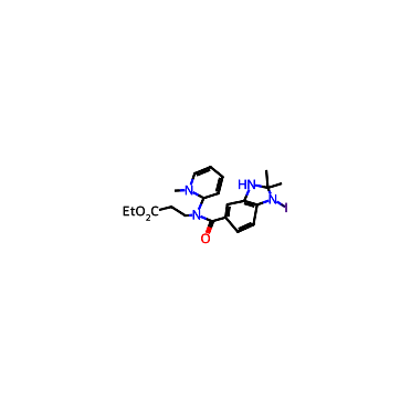 CCOC(=O)CCN(C(=O)c1ccc2c(c1)NC(C)(C)N2I)C1C=CC=CN1C